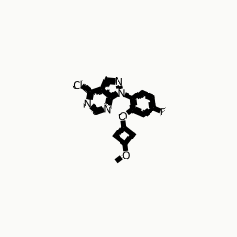 COC1CC(Oc2cc(F)ccc2-n2ncc3c(Cl)ncnc32)C1